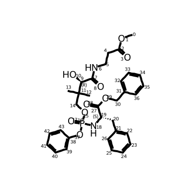 COC(=O)CCNC(=O)[C@H](O)C(C)(C)COP(=O)(N[C@@H](Cc1ccccc1)C(=O)OCc1ccccc1)Oc1ccccc1